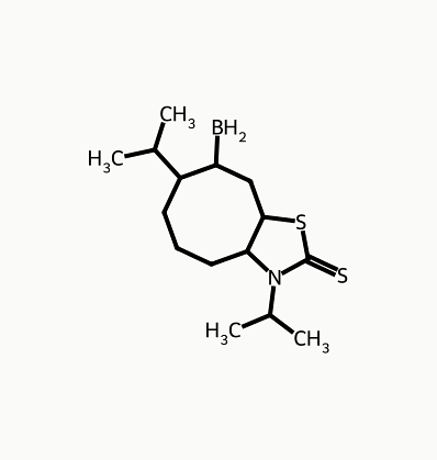 BC1CC2SC(=S)N(C(C)C)C2CCCC1C(C)C